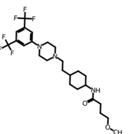 COCCCC(=O)NC1CCC(CCN2CCN(c3cc(C(F)(F)F)cc(C(F)(F)F)c3)CC2)CC1